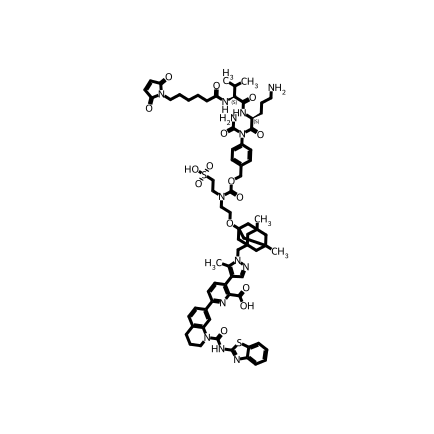 Cc1c(-c2ccc(-c3ccc4c(c3)N(C(=O)Nc3nc5ccccc5s3)CCC4)nc2C(=O)O)cnn1CC12CC3(C)CC(C)(C1)CC(OCCN(CCS(=O)(=O)O)C(=O)OCc1ccc(N(C(N)=O)C(=O)[C@H](CCCN)NC(=O)[C@@H](NC(=O)CCCCCN4C(=O)C=CC4=O)C(C)C)cc1)(C3)C2